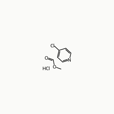 COC=O.Cl.Clc1ccncc1